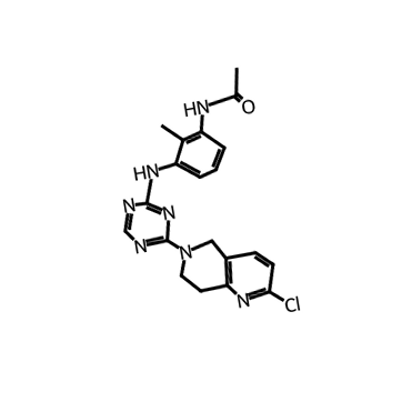 CC(=O)Nc1cccc(Nc2ncnc(N3CCc4nc(Cl)ccc4C3)n2)c1C